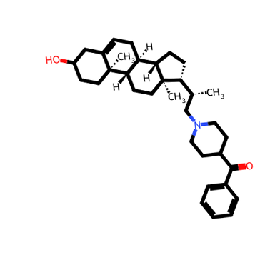 C[C@H](CN1CCC(C(=O)c2ccccc2)CC1)[C@H]1CC[C@H]2[C@@H]3CC=C4CC(O)CC[C@]4(C)[C@H]3CC[C@]12C